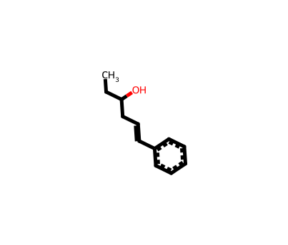 CCC(O)CC=Cc1ccccc1